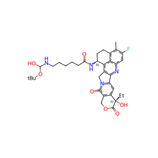 CC[C@@]1(O)C(=O)OCc2c1cc1n(c2=O)Cc2c-1nc1cc(F)c(C)c3c1c2[C@@H](NC(=O)CCCCCNC(O)OC(C)(C)C)CC3